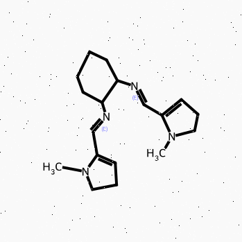 CN1CCC=C1/C=N/C1CCCCC1/N=C/C1=CCCN1C